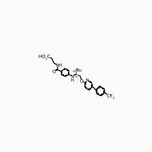 CC[C@H](C)[C@@H](COc1ccc(-c2ccc(C(F)(F)F)cc2)cn1)Nc1ccc(C(=O)NCCC(=O)O)cc1